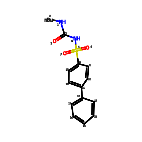 CCCCNC(=O)NS(=O)(=O)c1ccc(-c2ccccc2)cc1